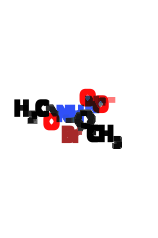 C=CC(=O)NCc1cc([N+](=O)[O-])cc(C)c1Br